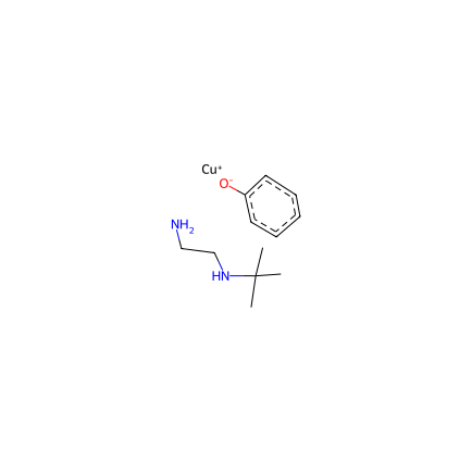 CC(C)(C)NCCN.[Cu+].[O-]c1ccccc1